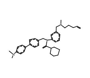 C=CCCCN(C)Cc1cccc(N(Cc2ccc(-c3ccc(N(C)C)cc3)cc2)C(=C)C2CCCCC2)c1